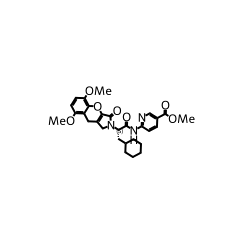 COC(=O)c1ccc(NC(=O)[C@H](CC2CCCCC2)N2CC3=C(Oc4c(OC)ccc(OC)c4C3)C2=O)nc1